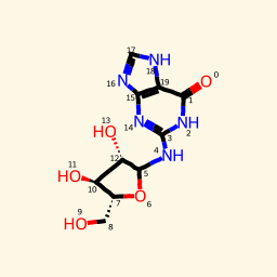 O=c1[nH]c(NC2O[C@H](CO)[C@@H](O)[C@@H]2O)nc2nc[nH]c12